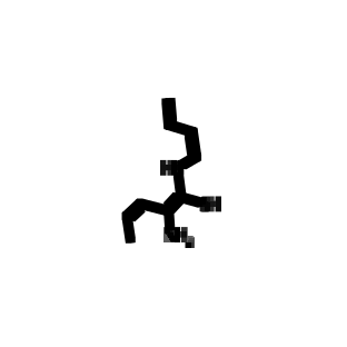 C=C/C=C\N/C(S)=C(N)\C=C/C